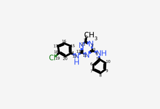 Cc1nc(Nc2ccccc2)nc(Nc2cccc(Cl)c2)n1